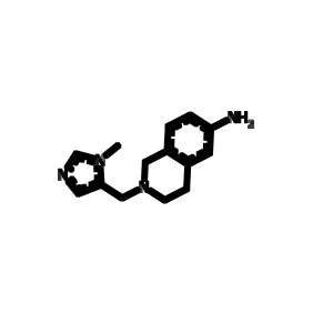 Cn1cncc1CN1CCc2cc(N)ccc2C1